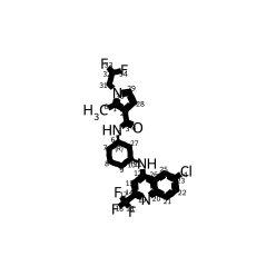 Cc1c(C(=O)N[C@@H]2CCC[C@H](Nc3cc(C(F)(F)F)nc4ccc(Cl)cc34)C2)ccn1CC(F)F